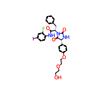 O=C(Nc1ccc(I)cc1F)[C@H](Cc1ccccc1)N1C(=O)N[C@H](c2ccc(OCCOCCO)cc2)C1=O